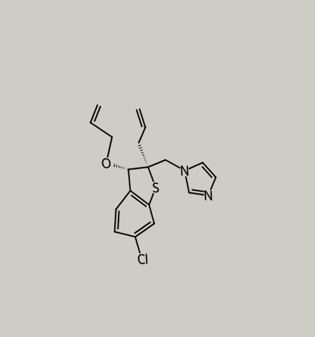 C=CCO[C@H]1c2ccc(Cl)cc2S[C@]1(CC=C)Cn1ccnc1